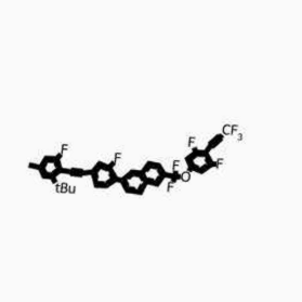 Cc1cc(F)c(C#Cc2ccc(-c3ccc4cc(C(F)(F)Oc5cc(F)c(C#CC(F)(F)F)c(F)c5)ccc4c3)c(F)c2)c(C(C)(C)C)c1